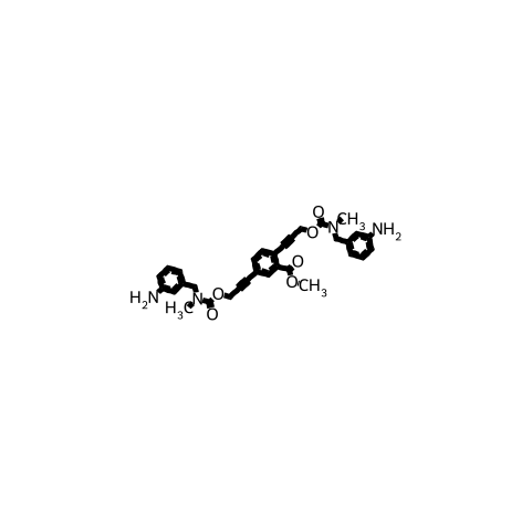 COC(=O)c1cc(C#CCOC(=O)N(C)Cc2cccc(N)c2)ccc1C#CCOC(=O)N(C)Cc1cccc(N)c1